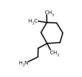 CC1(C)CCCC(C)(CCN)C1